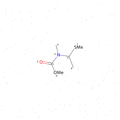 COC(=O)N(C)C(C)SC